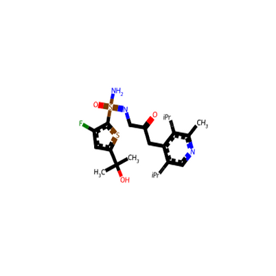 Cc1ncc(C(C)C)c(CC(=O)CN=S(N)(=O)c2sc(C(C)(C)O)cc2F)c1C(C)C